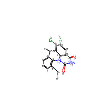 CCc1cccc(CC)c1-n1c(=O)[nH]c(=O)c2cc(Cl)c(Br)cc21